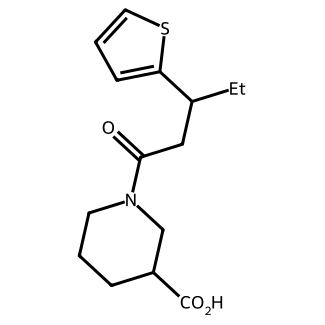 CCC(CC(=O)N1CCCC(C(=O)O)C1)c1cccs1